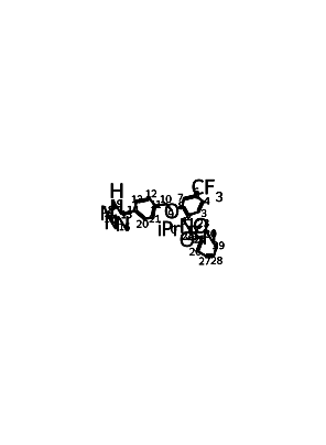 CC(C)N(c1ccc(C(F)(F)F)cc1OCc1ccc(-c2nnn[nH]2)cc1)S(=O)(=O)c1ccccn1